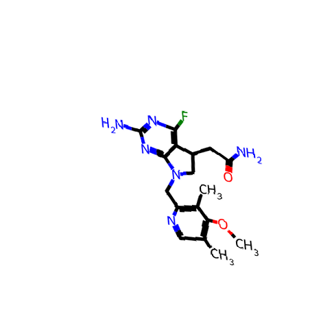 COc1c(C)cnc(CN2CC(CC(N)=O)c3c(F)nc(N)nc32)c1C